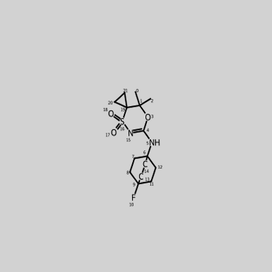 CC1(C)OC(NC23CCC(F)(CC2)CC3)=NS(=O)(=O)C12CC2